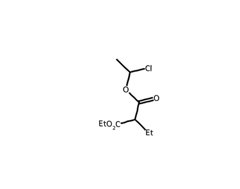 CCOC(=O)C(CC)C(=O)OC(C)Cl